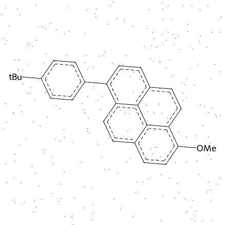 COc1ccc2ccc3c(-c4ccc(C(C)(C)C)cc4)ccc4ccc1c2c43